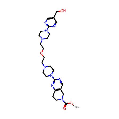 CC(C)(C)OC(=O)N1CCc2nc(N3CCN(CCOCCN4CCN(c5ncc(CO)cn5)CC4)CC3)ncc2C1